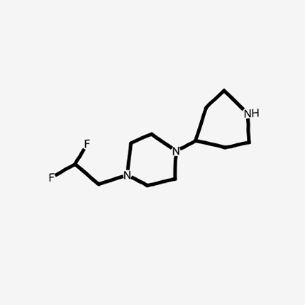 FC(F)CN1CCN(C2CCNCC2)CC1